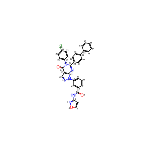 O=C(Nc1ccon1)c1cccc(-n2ncc3c(=O)n(-c4ccc(Cl)cc4)c(-c4ccc(-c5ccccc5)cc4)nc32)c1